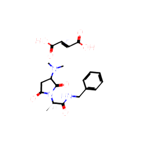 C[C@H](C(=O)NCc1ccccc1)N1C(=O)CC(N(C)C)C1=O.O=C(O)/C=C/C(=O)O